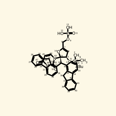 CC(C)(C)[Si](C)(C)O[C@@H]1C=C(COP(=O)(O)O)O[C@@]1(C(c1cccc2c1Cc1ccccc1-2)c1cccc2c1Cc1ccccc1-2)n1ccc(=O)[nH]c1=O